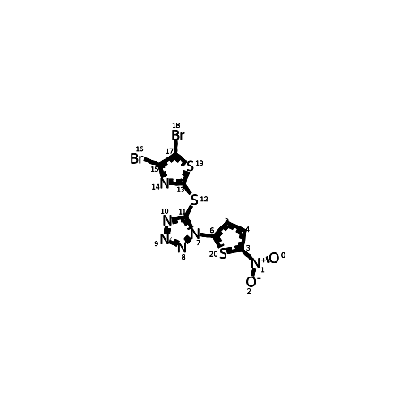 O=[N+]([O-])c1ccc(-n2nnnc2Sc2nc(Br)c(Br)s2)s1